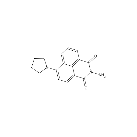 NN1C(=O)c2cccc3c(N4CCCC4)ccc(c23)C1=O